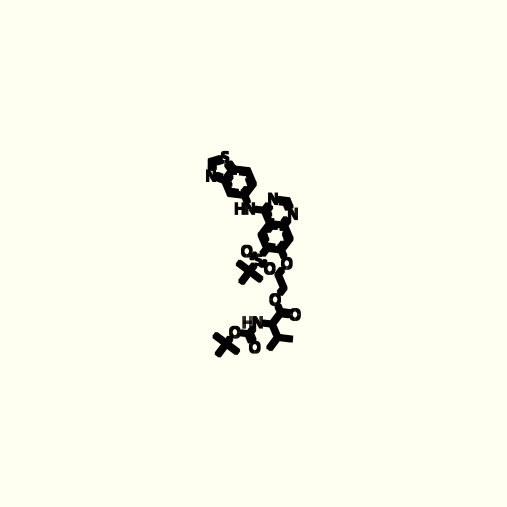 CC(C)C(NC(=O)OC(C)(C)C)C(=O)OCCOc1cc2ncnc(Nc3ccc4scnc4c3)c2cc1S(=O)(=O)C(C)(C)C